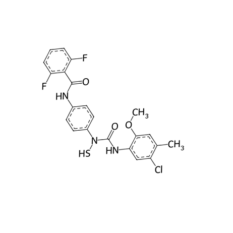 COc1cc(C)c(Cl)cc1NC(=O)N(S)c1ccc(NC(=O)c2c(F)cccc2F)cc1